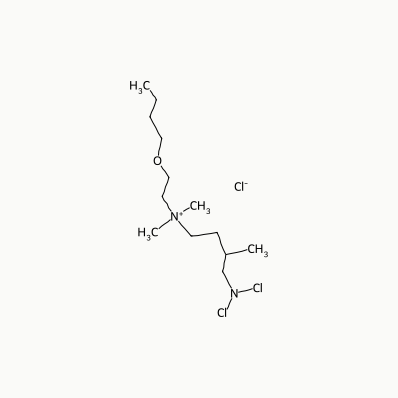 CCCCOCC[N+](C)(C)CCC(C)CN(Cl)Cl.[Cl-]